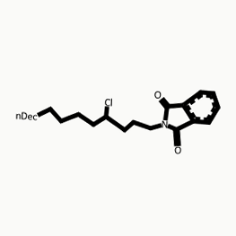 CCCCCCCCCCCCCCC(Cl)CCCN1C(=O)c2ccccc2C1=O